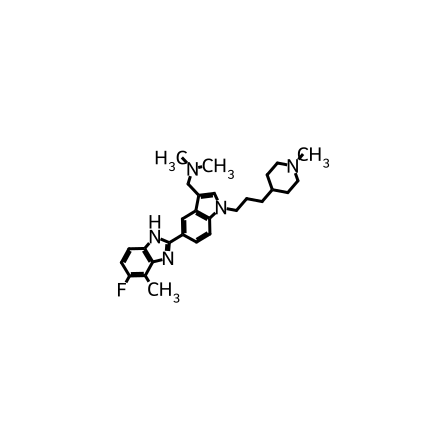 Cc1c(F)ccc2[nH]c(-c3ccc4c(c3)c(CN(C)C)cn4CCCC3CCN(C)CC3)nc12